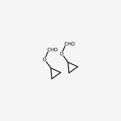 O=COC1CC1.O=COC1CC1